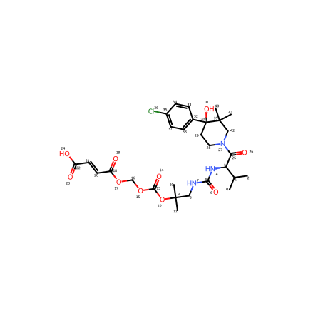 CC(C)[C@@H](NC(=O)NCC(C)(C)OC(=O)OCOC(=O)C=CC(=O)O)C(=O)N1CC[C@](O)(c2ccc(Cl)cc2)C(C)(C)C1